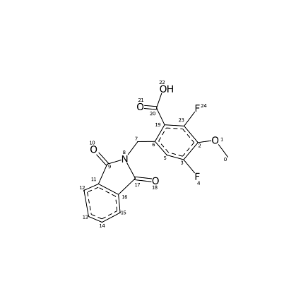 COc1c(F)cc(CN2C(=O)c3ccccc3C2=O)c(C(=O)O)c1F